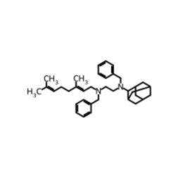 CC(C)=CCC/C(C)=C/CN(CCN(Cc1ccccc1)C1C2CC3CC(C2)CC1C3)Cc1ccccc1